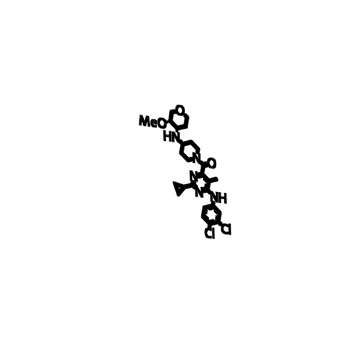 CO[C@@H]1COCC[C@@H]1NC1CCN(C(=O)c2nc(C3CC3)nc(Nc3ccc(Cl)c(Cl)c3)c2C)CC1